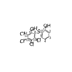 Oc1ccccc1Sc1c(O)c(Cl)c(Cl)c(Cl)c1Cl